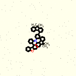 CC1(C)c2ccccc2-c2c(-c3ccc(N(c4ccccc4-c4cccc5oc6ccccc6c45)c4cccc5c4-c4ccccc4C5(C)C)cc3)cccc21